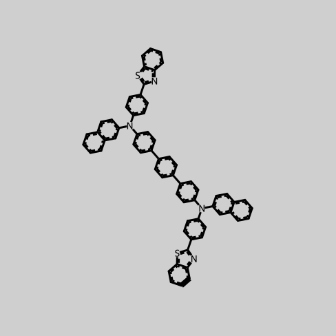 c1ccc2sc(-c3ccc(N(c4ccc(-c5ccc(-c6ccc(N(c7ccc(-c8nc9ccccc9s8)cc7)c7ccc8ccccc8c7)cc6)cc5)cc4)c4ccc5ccccc5c4)cc3)nc2c#1